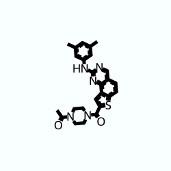 CC(=O)N1CCN(C(=O)c2cc3c(ccc4cnc(Nc5cc(C)cc(C)c5)nc43)s2)CC1